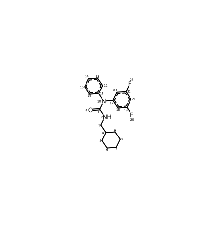 O=C(NCC1CCCCC1)N(c1ccccc1)c1cc(F)cc(F)c1